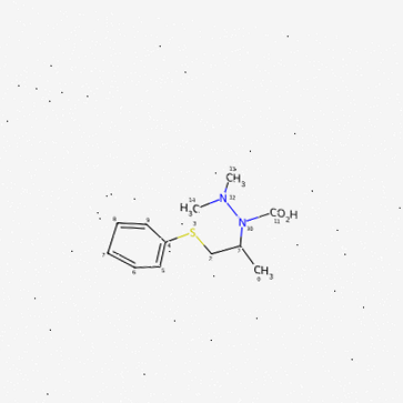 CC(CSc1ccccc1)N(C(=O)O)N(C)C